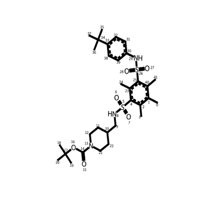 Cc1c(C)c(S(=O)(=O)NCC2CCN(C(=O)OC(C)(C)C)CC2)c(C)c(S(=O)(=O)Nc2ccc(C(C)(C)C)cc2)c1C